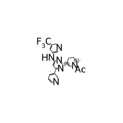 CC(=O)N1C[C@H](c2nc(Nc3cncc(C(F)(F)F)c3)cc(-c3cccnc3)n2)CC[C@@H]1C